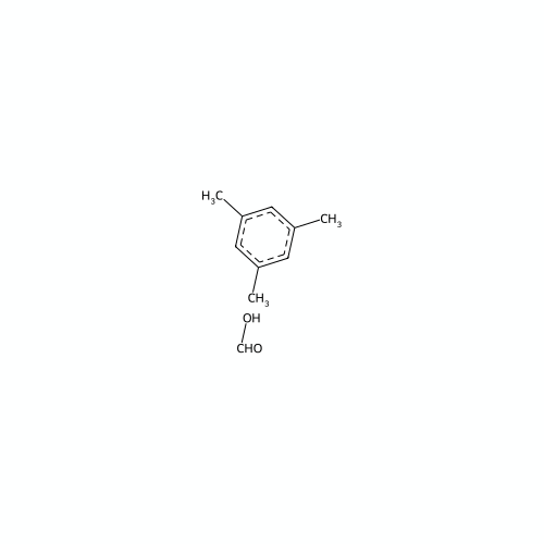 Cc1cc(C)cc(C)c1.O=CO